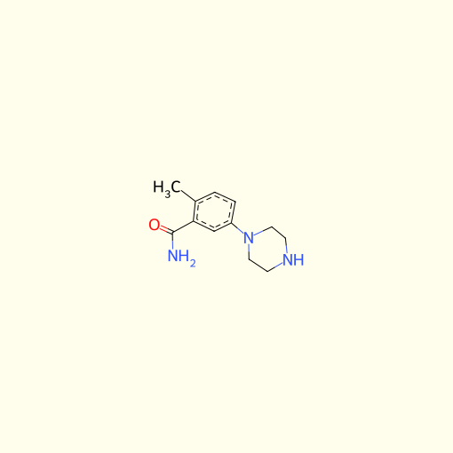 Cc1ccc(N2CCNCC2)cc1C(N)=O